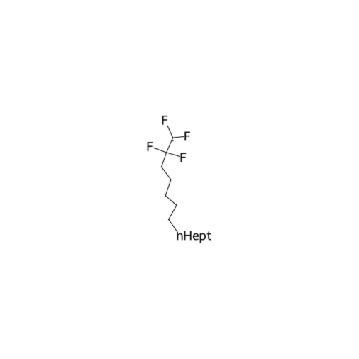 CCCCCCCCCCCCC(F)(F)[C](F)F